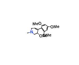 COc1cc(OC)c(C2=CCN(C)CC2OC(C)=O)c(OC)c1